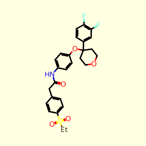 CCS(=O)(=O)c1ccc(CC(=O)Nc2ccc(OC3(c4ccc(F)c(F)c4)CCOCC3)cc2)cc1